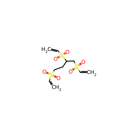 C=CS(=O)(=O)CCC(CS(=O)(=O)C=C)S(=O)(=O)C=C